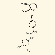 COc1ccnc(CSc2ccc(NC(=O)Nc3ccc(Cl)c(C(F)(F)F)c3)cc2)c1OC